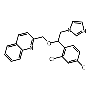 Clc1ccc(C(Cn2ccnc2)OCc2ccc3ccccc3n2)c(Cl)c1